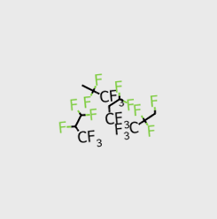 CC(F)(F)C(F)(F)F.FC(F)C(F)C(F)(F)F.FC(F)CC(F)(F)F.FCC(F)(F)C(F)(F)F